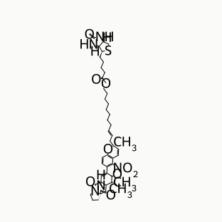 CC1(C/C=C/CCCCCCCCOC(=O)CCCC[C@@H]2SC[C@@H]3NC(=O)N[C@@H]32)C=Cc2c(ccc(C3=CC45NC(=O)[C@@]6(CCCN6C4=O)CC5C(C)(C)C3=O)c2[N+](=O)[O-])O1